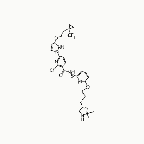 CC1(C)CC(CCCOc2cccc(SNC(=O)c3ccc(N4C=CC(OCCC5(C(F)(F)F)CC5)N4)nc3Cl)n2)CN1